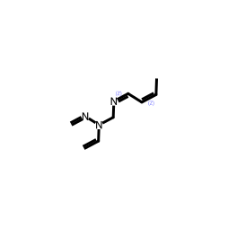 C=CN(C/N=C\C=C/C)N=C